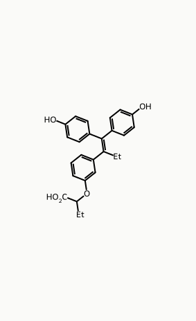 CCC(=C(c1ccc(O)cc1)c1ccc(O)cc1)c1cccc(OC(CC)C(=O)O)c1